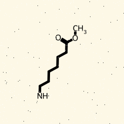 COC(=O)CCCCCC[NH]